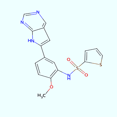 COc1ccc(-c2cc3cncnc3[nH]2)cc1NS(=O)(=O)c1cccs1